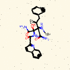 CCCCNC(C(N)=O)(C(CC)Cc1ccccc1)C(O)(NC(=O)c1ccc2ccccc2n1)C(N)=O